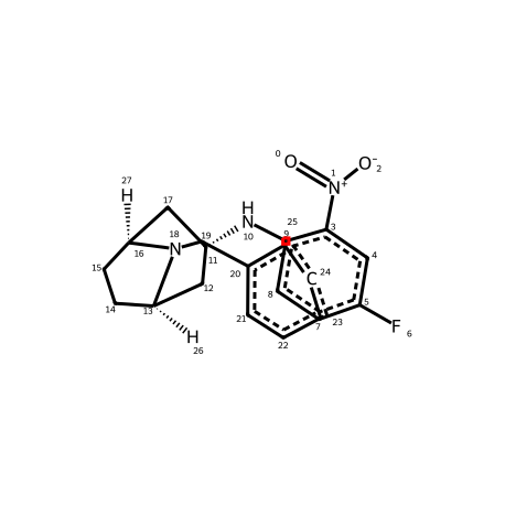 O=[N+]([O-])c1cc(F)ccc1N[C@@H]1C[C@H]2CC[C@@H](C1)N2Cc1ccccc1